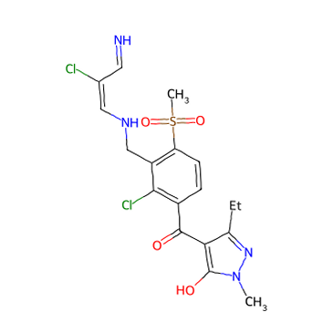 CCc1nn(C)c(O)c1C(=O)c1ccc(S(C)(=O)=O)c(CN/C=C(/Cl)C=N)c1Cl